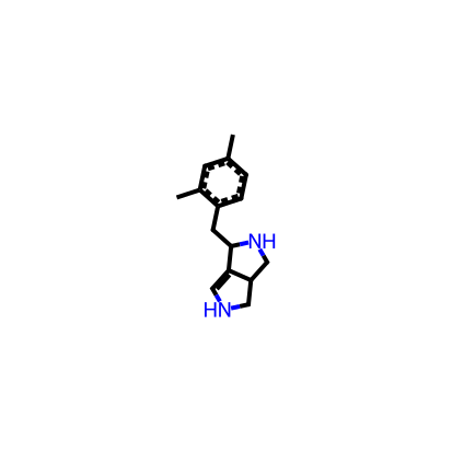 Cc1ccc(CC2NCC3CNC=C32)c(C)c1